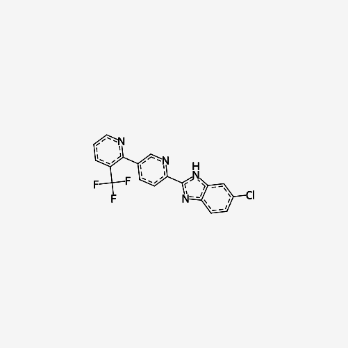 FC(F)(F)c1cccnc1-c1ccc(-c2nc3ccc(Cl)cc3[nH]2)nc1